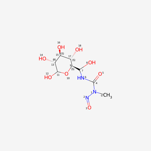 CN(N=O)C(=O)NC(O)[C@H]1OC(O)[C@H](O)[C@@H](O)[C@@H]1O